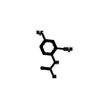 CCC(=O)Nc1ccc(C)cc1C(=O)O